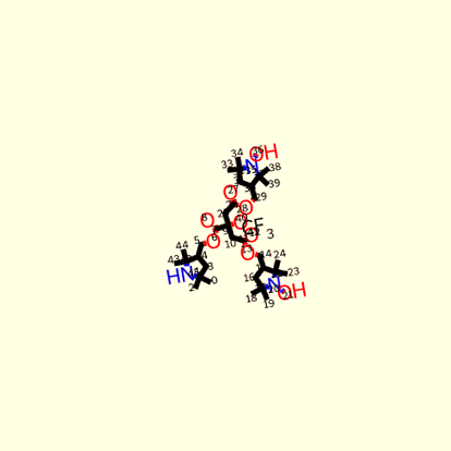 CC1(C)CC(COC(=O)C(CC(=O)OCC2CC(C)(C)N(O)C2(C)C)(CC(=O)OCC2CC(C)(C)N(O)C2(C)C)OC(F)(F)F)C(C)(C)N1